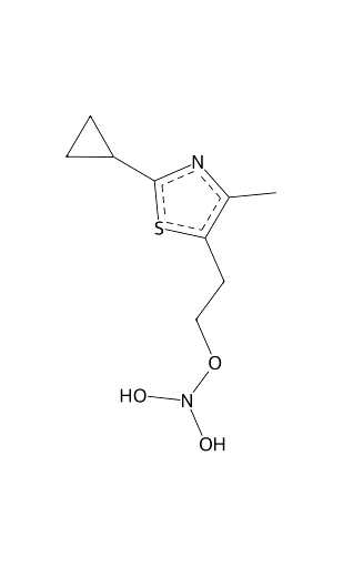 Cc1nc(C2CC2)sc1CCON(O)O